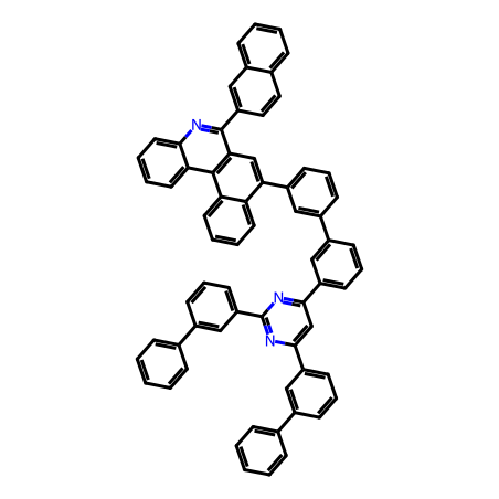 c1ccc(-c2cccc(-c3cc(-c4cccc(-c5cccc(-c6cc7c(-c8ccc9ccccc9c8)nc8ccccc8c7c7ccccc67)c5)c4)nc(-c4cccc(-c5ccccc5)c4)n3)c2)cc1